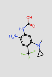 CN(c1cc(NC(=O)O)c(N)cc1C(F)(F)F)C1CC1